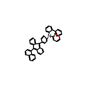 c1ccc(-c2ccccc2N(c2ccc(-c3c4ccccc4c(-c4cccc5ccccc45)c4ccccc34)cc2)c2ccccn2)cc1